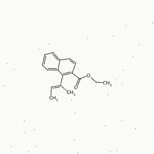 CC=C(C)c1c(C(=O)OCC)ccc2ccccc12